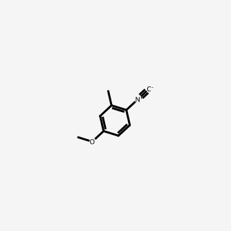 [C-]#[N+]c1ccc(OC)cc1C